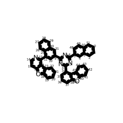 c1ccc2cc(-c3nc(-c4cc(-c5nccc6oc7ccccc7c56)c5ccccc5c4)nc(-c4cccc5oc6ccccc6c45)n3)ccc2c1